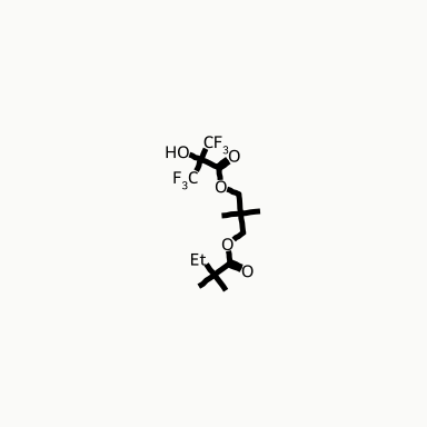 CCC(C)(C)C(=O)OCC(C)(C)COC(=O)C(O)(C(F)(F)F)C(F)(F)F